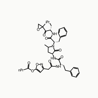 CCCC(=O)Oc1cc(CC(=O)N[C@@H](CCc2ccccc2)C(=O)N[C@H]2CC(C)N([C@@H](Cc3ccccc3)C(=O)N[C@@H](CC(C)C)C(=O)C3(C)CO3)C2=O)no1